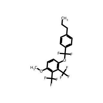 CCCc1ccc(C(F)(F)Oc2ccc(OC)c(C(F)(F)F)c2C(F)(F)F)cc1